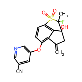 C=C1CC2(O)c3c(ccc(Oc4cncc(C#N)c4)c31)S(=O)(=O)C2(C)F